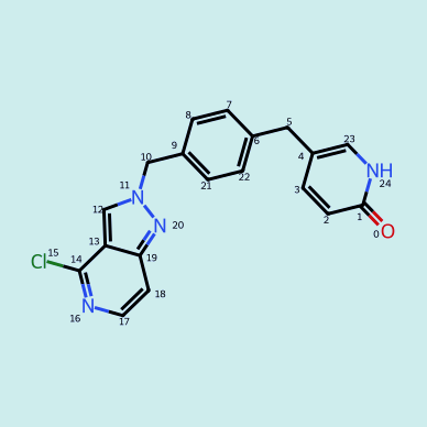 O=c1ccc(Cc2ccc(Cn3cc4c(Cl)nccc4n3)cc2)c[nH]1